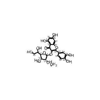 O.O=c1c(O[C@@H]2O[C@H]([C@H](O)CO)[C@H](O)[C@H]2O)c(-c2ccc(O)c(O)c2)oc2cc(O)cc(O)c12